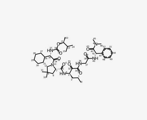 CCC[C@@H](NC(=O)[C@@H]1CC(C)(C)CN1C(=O)[C@@H](NC(=O)O[C@@H](C)C(C)C)C1CCCCC1)C(=O)C(=O)NCC(=O)N[C@H](C(=O)N(C)C)c1ccccc1